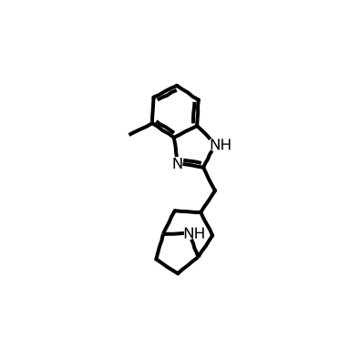 Cc1cccc2[nH]c(CC3CC4CCC(C3)N4)nc12